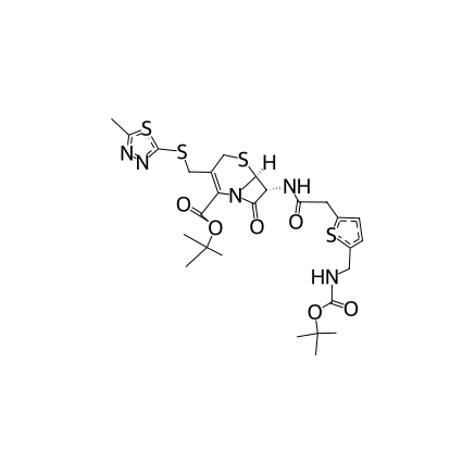 Cc1nnc(SCC2=C(C(=O)OC(C)(C)C)N3C(=O)[C@@H](NC(=O)Cc4ccc(CNC(=O)OC(C)(C)C)s4)[C@@H]3SC2)s1